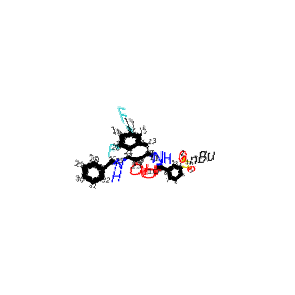 CCCCS(=O)(=O)c1cccc(C(=O)N[C@@H](Cc2cc(F)cc(F)c2)[C@H](O)CNCc2ccccc2)c1